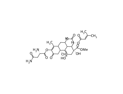 COC(=O)[C@@]1(O)CC(O)=C2C3[C@@H](CC4C(C)=C(OC(=O)[C@@H](N)CC(N)=O)C(=O)C[C@]24C)OC(=O)[C@H](OC(=O)C=C(C)C)[C@H]31